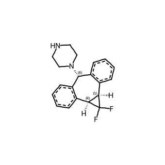 FC1(F)[C@@H]2c3ccccc3[C@@H](N3CCNCC3)c3ccccc3[C@@H]21